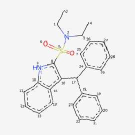 CCN(CC)S(=O)(=O)c1[nH]c2ccccc2c1C(c1ccccc1)c1ccccc1